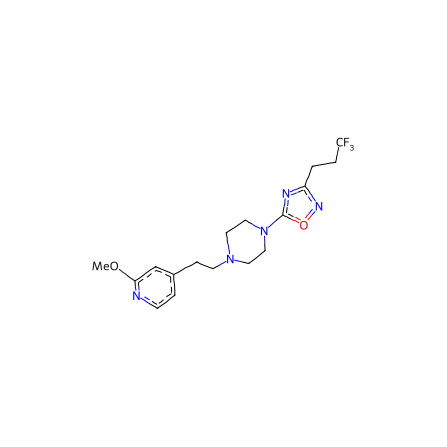 COc1cc(CCN2CCN(c3nc(CCC(F)(F)F)no3)CC2)ccn1